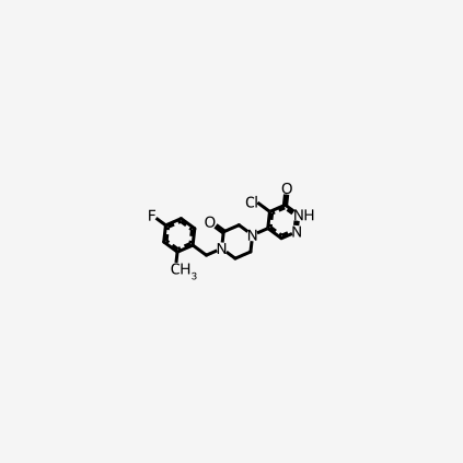 Cc1cc(F)ccc1CN1CCN(c2cn[nH]c(=O)c2Cl)CC1=O